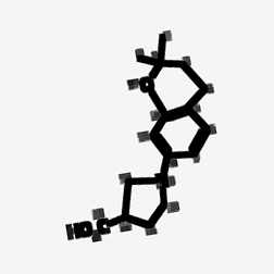 CC1(C)CCc2ccc(N3CCC(C(=O)O)C3)cc2O1